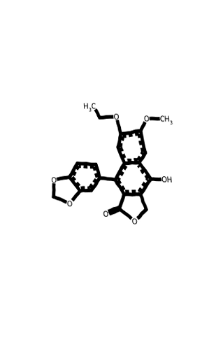 CCOc1cc2c(-c3ccc4c(c3)OCO4)c3c(c(O)c2cc1OC)COC3=O